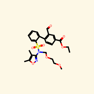 CCOC(=O)c1ccc(-c2ccccc2S(=O)(=O)N(COCCOC)c2noc(C)c2C)c(C=O)c1